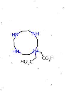 O=C(O)C[N+]1(CC(=O)O)CCNCCNCCNCC1